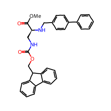 COC(=O)[C@H](CNC(=O)OCC1c2ccccc2-c2ccccc21)NCc1ccc(-c2ccccc2)cc1